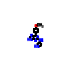 COc1ccc(-c2nc(N[C@@H]3CCNC3)nc3[nH]cnc23)cc1